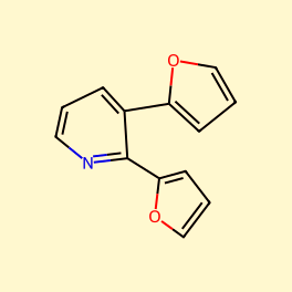 c1coc(-c2cccnc2-c2ccco2)c1